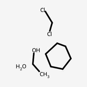 C1CCCCC1.CCO.ClCCl.O